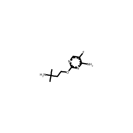 CC(C)(N)CCOc1ncc(F)c(N)n1